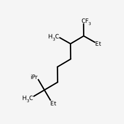 CCC(C(C)CCCC(C)(CC)C(C)C)C(F)(F)F